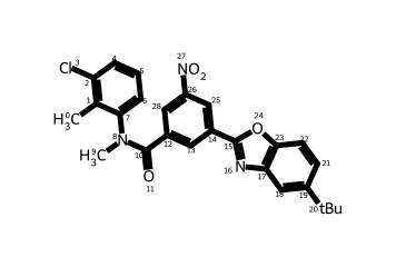 Cc1c(Cl)cccc1N(C)C(=O)c1cc(-c2nc3cc(C(C)(C)C)ccc3o2)cc([N+](=O)[O-])c1